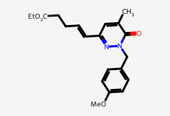 CCOC(=O)CCC=Cc1cc(C)c(=O)n(Cc2ccc(OC)cc2)n1